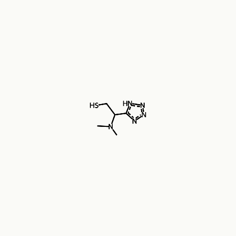 CN(C)C(CS)c1nnn[nH]1